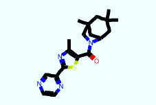 Cc1nc(-c2cnccn2)sc1C(=O)N1CC2(C)CC1CC(C)(C)C2